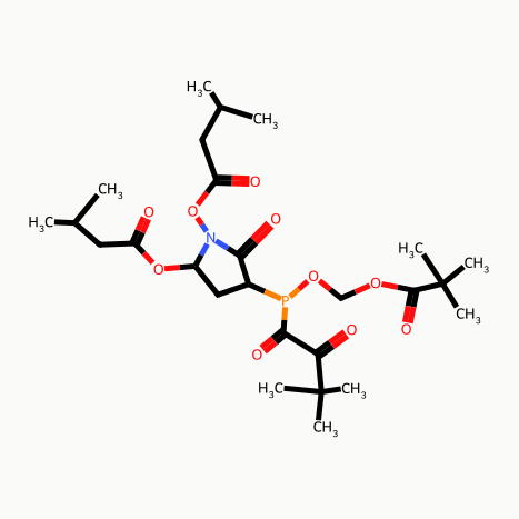 CC(C)CC(=O)OC1CC(P(OCOC(=O)C(C)(C)C)C(=O)C(=O)C(C)(C)C)C(=O)N1OC(=O)CC(C)C